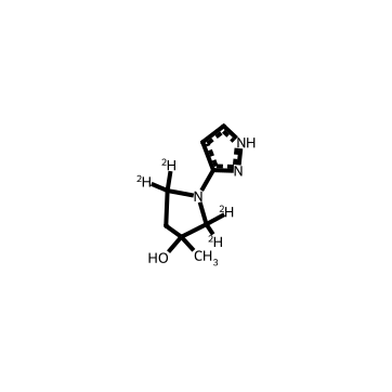 [2H]C1([2H])CC(C)(O)C([2H])([2H])N1c1cc[nH]n1